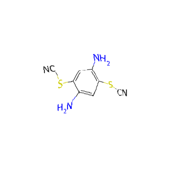 N#CSc1cc(N)c(SC#N)cc1N